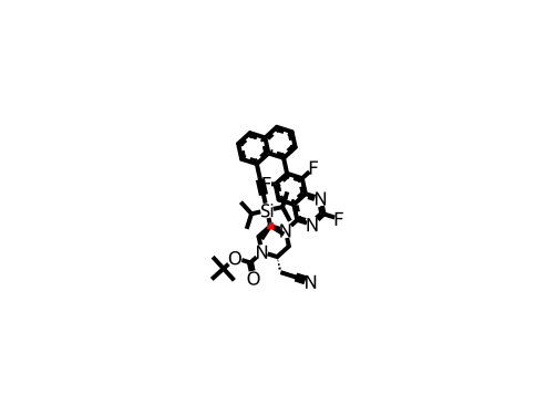 CC(C)[Si](C#Cc1cccc2cccc(-c3c(F)cc4c(N5CCN(C(=O)OC(C)(C)C)[C@@H](CC#N)C5)nc(F)nc4c3F)c12)(C(C)C)C(C)C